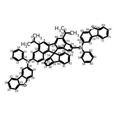 CC(C)c1cc2c(c3ccc(N(c4ccccc4)c4ccc5sc6ccccc6c5c4)cc13)C1(c3ccccc3-c3ccccc31)c1c-2cc(C(C)C)c2cc(N(c3ccccc3)c3ccc4sc5ccccc5c4c3)ccc12